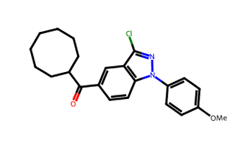 COc1ccc(-n2nc(Cl)c3cc(C(=O)C4CCCCCCC4)ccc32)cc1